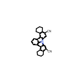 N#Cc1cc2c(c3c1CCCC3)c1cccc3c4c5c(c(C#N)cc4n2c13)CCCC5